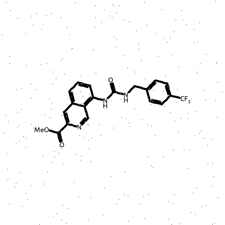 COC(=O)c1cc2cccc(NC(=O)NCc3ccc(C(F)(F)F)cc3)c2cn1